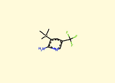 C[Si](C)(C)c1cc(C(F)(F)F)cnc1N